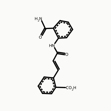 NC(=O)c1ccccc1NC(=O)C=Cc1ccccc1C(=O)O